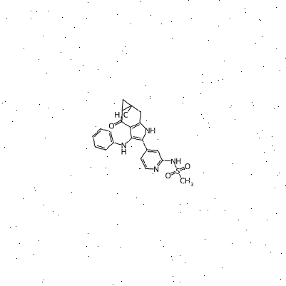 CC12Cc3[nH]c(-c4ccnc(NS(C)(=O)=O)c4)c(Nc4ccccc4)c3C(=O)C1C2